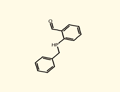 O=Cc1ccccc1PCc1ccccc1